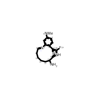 CNc1ccc2c(c1)/N=C/CCCCC(N)c1nc-2c(F)[nH]1